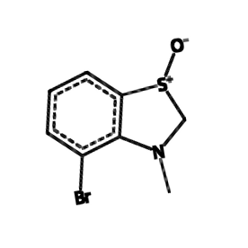 CN1C[S+]([O-])c2cccc(Br)c21